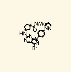 CNC(=O)[C@]1(C)CC[C@@H](Nc2ncc3c(Br)nn(-c4ccc(-n5cccn5)cc4)c3n2)C1